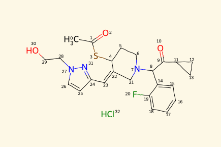 CC(=O)SC1CCN(C(C(=O)C2CC2)c2ccccc2F)C/C1=C/c1ccn(CCO)n1.Cl